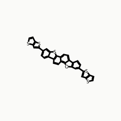 c1cc2sc(-c3ccc4c(c3)oc3c4ccc4c3ccc3c5ccc(-c6cc7sccc7s6)cc5sc34)cc2s1